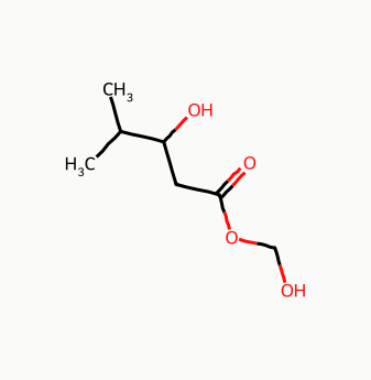 CC(C)C(O)CC(=O)OCO